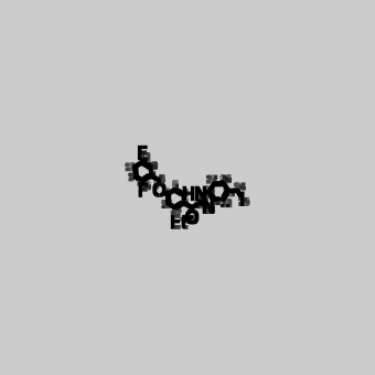 CCOC(c1ccc(OCc2cc(F)ccc2F)cc1)c1nc2cc(CI)ccc2[nH]1